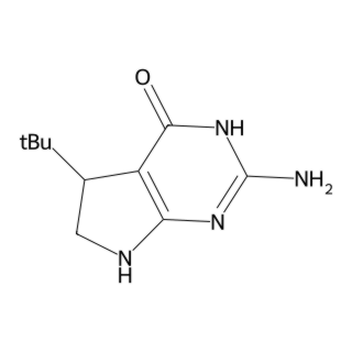 CC(C)(C)C1CNc2nc(N)[nH]c(=O)c21